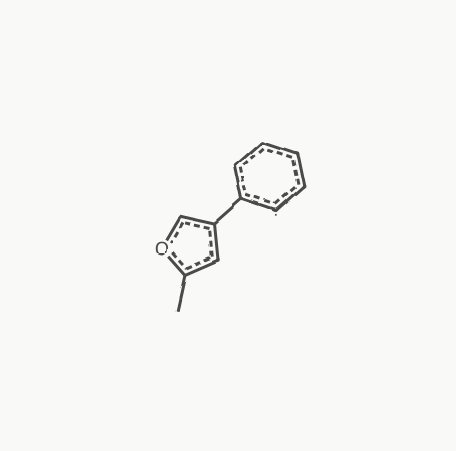 Cc1cc(-c2[c]cccc2)co1